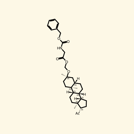 CC(=O)[C@H]1CC[C@H]2[C@H]3CC[C@H]4C[C@](C)(OCOC(=O)CNC(=O)OCc5ccccc5)CC[C@]4(C)[C@H]3CC[C@]12C